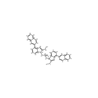 CCC1=Cc2c(-c3ccc4ccccc4c3)cccc2C1C[SiH2]CC1C(CC)=Cc2c(-c3ccc4ccccc4c3)cccc21